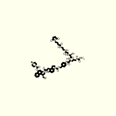 CC(C)[C@H](NCC(=O)NCCNC(=O)CCCN1C(=O)C=CC1=O)C(=O)N[C@@H](CCCNC(N)=O)C(=O)Nc1ccc(COC(=O)N2CCc3c2ccc2c3CC(C(=O)N3C[C@@H](CBr)c4c3cc(OC(=O)N3CCN(C)CC3)c3ccccc43)N2)cc1